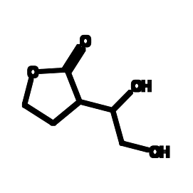 O=C1OCCC1C(O)CO